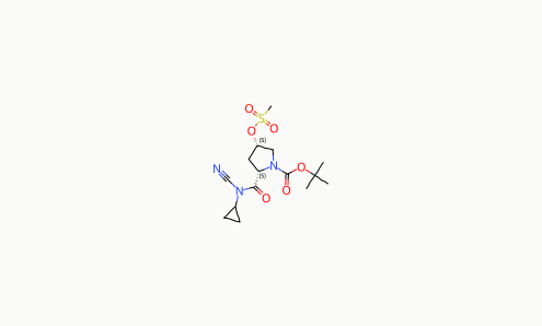 CC(C)(C)OC(=O)N1C[C@@H](OS(C)(=O)=O)C[C@H]1C(=O)N(C#N)C1CC1